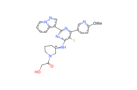 COc1ccc(-c2nc(-c3cnn4ccccc34)nc(N[C@@H]3CCCN(C(=O)CO)C3)c2F)cn1